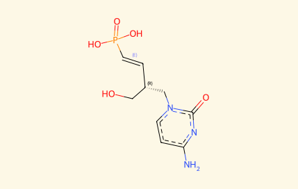 Nc1ccn(C[C@@H](/C=C/P(=O)(O)O)CO)c(=O)n1